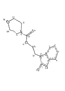 O=c1sc2ccccc2n1CCOC(=S)N1CCOCC1